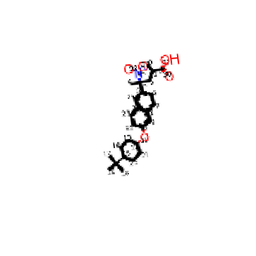 CC(CC(C)(c1ccc2cc(O[C@H]3CC[C@H](C(C)(C)C)CC3)ccc2c1)[N+](=O)[O-])C(=O)O